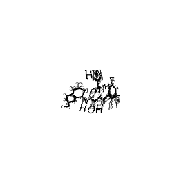 CCc1ccc2c(c1)[C@@H](NC[C@@H](O)[C@H](Cc1cc(F)cc(F)c1)NC(=O)c1cn[nH]c1)CCC2